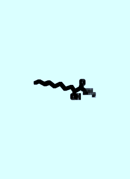 CCC=CCCCCC(O)C(N)=O